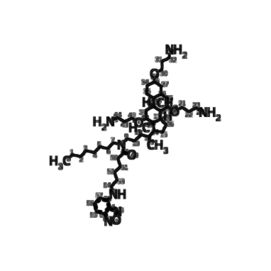 CCCCCCCCN(CCCC(C)C1CC[C@H]2C3[C@H](OCCCN)CC4C[C@H](OCCCN)CC[C@]4(C)[C@H]3C[C@H](OCCCN)[C@]12C)C(=O)CCCCCNc1cccc2nonc12